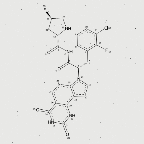 O=C(NC(=O)[C@H](Cc1cccc(Cl)c1F)n1ccc2c3[nH]c(=O)[nH]c(=O)c3cnc21)[C@@H]1C[C@@H](F)CN1